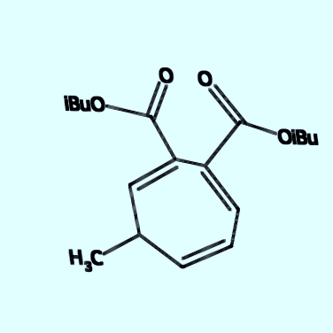 CC1C=CC=C(C(=O)OCC(C)C)C(C(=O)OCC(C)C)=C1